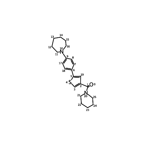 O=C(c1csc(-c2ccc(N3CCCCCC3)cc2)c1)N1CCCCC1